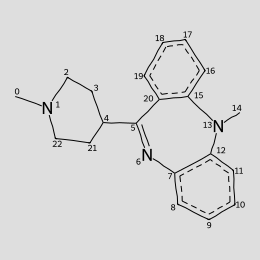 CN1CCC(C2=Nc3ccccc3N(C)c3ccccc32)CC1